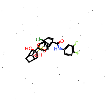 O=C(Nc1ccc(F)c(F)c1)c1ccc(Cl)c(S(=O)(=O)[C@H]2CC3CCC(C2)[C@]3(O)C(O)c2ccccc2)c1